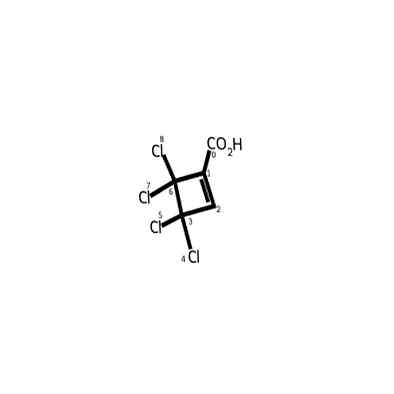 O=C(O)C1=CC(Cl)(Cl)C1(Cl)Cl